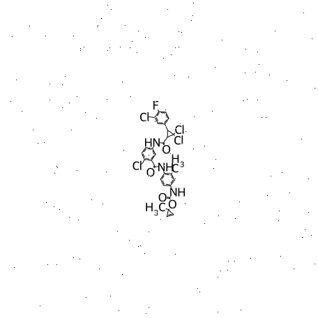 Cc1cc(NC(=O)OC2(C)C=C2)ccc1NC(=O)c1cc(NC(=O)C2C(c3ccc(F)c(Cl)c3)C2(Cl)Cl)ccc1Cl